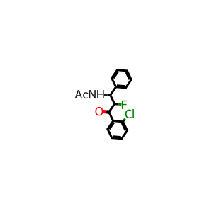 CC(=O)NC(c1ccccc1)C(F)C(=O)c1ccccc1Cl